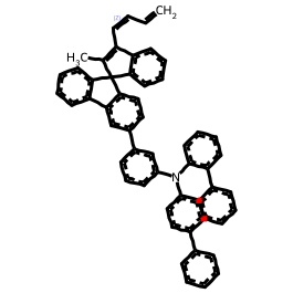 C=C/C=C\C1=C(C)C2(c3ccccc31)c1ccccc1-c1cc(-c3cccc(N(c4ccc(-c5ccccc5)cc4)c4ccccc4-c4ccccc4)c3)ccc12